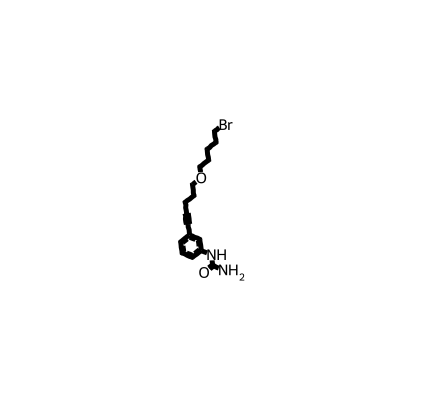 NC(=O)Nc1cccc(C#CCCCOCCCCCBr)c1